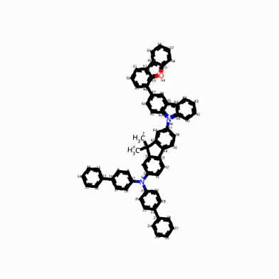 CC1(C)c2cc(N(c3ccc(-c4ccccc4)cc3)c3ccc(-c4ccccc4)cc3)ccc2-c2ccc(-n3c4ccccc4c4cc(-c5cccc6c5oc5ccccc56)ccc43)cc21